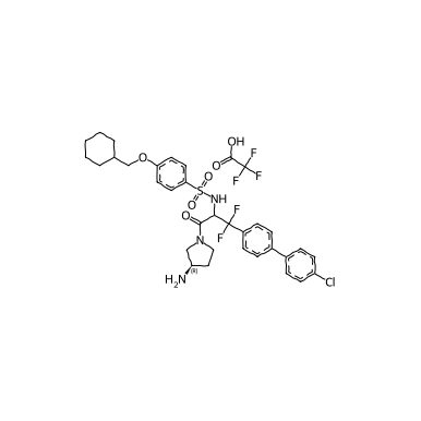 N[C@@H]1CCN(C(=O)C(NS(=O)(=O)c2ccc(OCC3CCCCC3)cc2)C(F)(F)c2ccc(-c3ccc(Cl)cc3)cc2)C1.O=C(O)C(F)(F)F